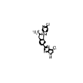 C=C(Cc1ccc(-c2cnc3[nH]cc(Cl)c3n2)cc1F)Nc1ccc(Cl)nc1